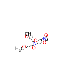 COCCCCC(=O)N(CC1CCC(CN2C(=O)C=CC2=O)CC1)C(=O)CCCCOC